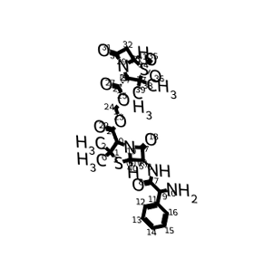 CC1(C)S[C@@H]2[C@H](NC(=O)C(N)c3ccccc3)C(=O)N2C1C(=O)OCOC(=O)[C@@H]1N2C(=O)C[C@H]2S(=O)(=O)C1(C)C